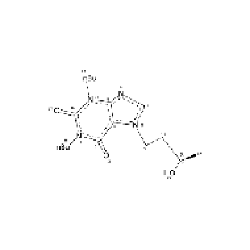 CCCCn1c(=O)c2c(ncn2CC[C@@H](C)O)n(CCCC)c1=O